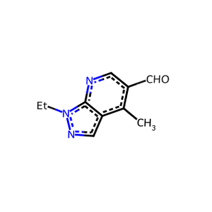 CCn1ncc2c(C)c(C=O)cnc21